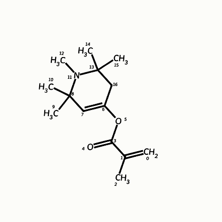 C=C(C)C(=O)OC1=CC(C)(C)N(C)C(C)(C)C1